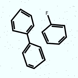 Fc1ccccc1.c1ccc(-c2ccccc2)cc1